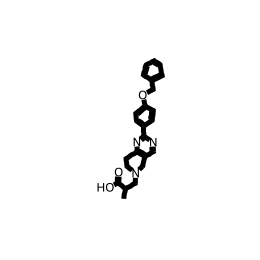 CC(CN1CCc2nc(-c3ccc(OCc4ccccc4)cc3)ncc2C1)C(=O)O